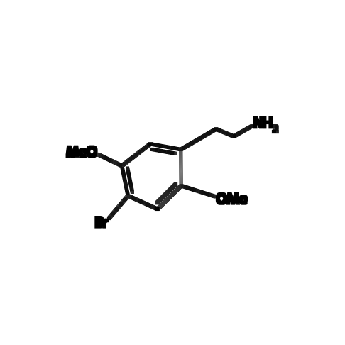 COc1cc(CCN)c(OC)cc1Br